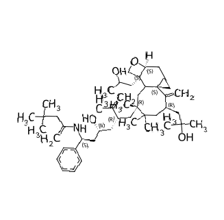 C=C(CC(C)(C)C)N[C@@H](C[C@H](O)C[C@@H](C[C@]1(C)CC2[C@@]3(CC3C[C@@H]3OC[C@]23CC(C)O)C(=C)[C@@H](CC(C)(C)O)CC1(C)C)C(=C)C)c1ccccc1